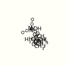 C=C(C)C(=O)OCC(C)(COC(=O)C(C)Oc1ccc(-c2nc(-c3ccc(-c4ccccc4)cc3)nc(-c3ccc(-c4ccccc4)cc3)n2)c(O)c1)COC(C)(OC)C(=C)C